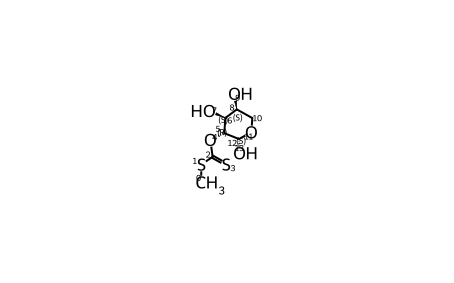 CSC(=S)O[C@@H]1[C@@H](O)[C@@H](O)CO[C@@H]1O